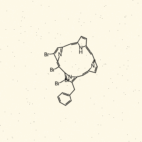 BrC1=Cc2cc3ccc(cc4nc(cc5c(Cc6ccccc6)c(Br)c(c(Br)c1n2)n5Br)C=C4)[nH]3